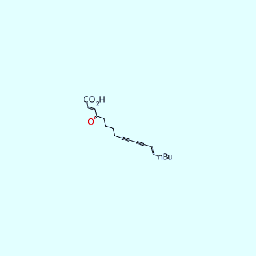 CCCCC=CC#CC#CCCCCC(=O)C=CC(=O)O